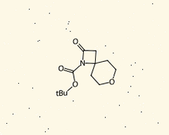 CC(C)(C)OC(=O)N1C(=O)CC12CCOCC2